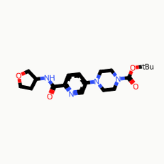 CC(C)(C)OC(=O)N1CCN(c2ccc(C(=O)NC3CCOC3)nc2)CC1